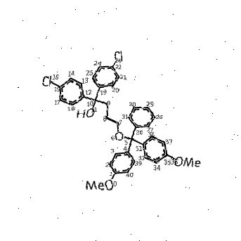 COc1ccc(C(OCCCC(O)(c2ccc(Cl)cc2)c2ccc(Cl)cc2)(c2ccccc2)c2ccc(OC)cc2)cc1